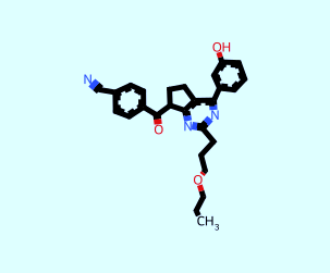 CCCOCCCc1nc(-c2cccc(O)c2)c2c(n1)C(C(=O)c1ccc(C#N)cc1)CC2